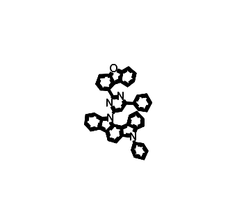 c1ccc(-c2cc(-n3c4ccccc4c4ccc5c(c6ccccc6n5-c5ccccc5)c43)nc(-c3cccc4oc5ccccc5c34)n2)cc1